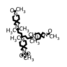 CC(=O)N1CCC2(CC1)CN(C(C)(C)CCC(C)(CCC(C)(C)N1CCC3(CC1)CN(C(C)=O)C3)N1CCC3(CC1)CN(S(C)(=O)=O)C3)C2